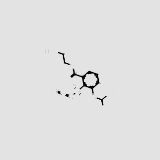 CCCOC(=O)c1cccc(OC(F)F)c1S(=O)(=O)N=C=O